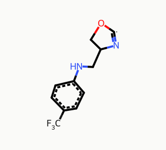 FC(F)(F)c1ccc(NCC2CO[C]=N2)cc1